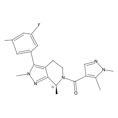 Cc1cc(F)cc(-c2c3c(nn2C)[C@H](C)N(C(=O)c2cnn(C)c2C)CC3)c1